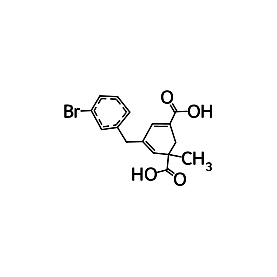 CC1(C(=O)O)C=C(Cc2cccc(Br)c2)C=C(C(=O)O)C1